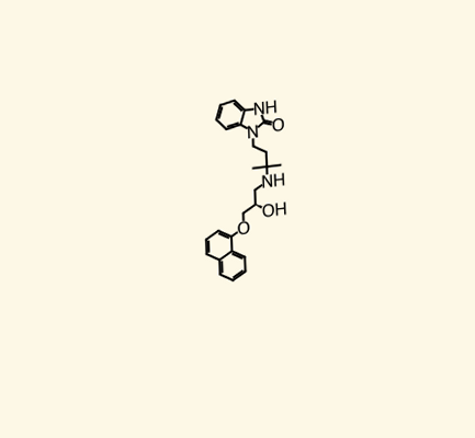 CC(C)(CCn1c(=O)[nH]c2ccccc21)NC[C@@H](O)COc1cccc2ccccc12